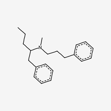 CCCC(Cc1ccccc1)N(C)CCCc1ccccc1